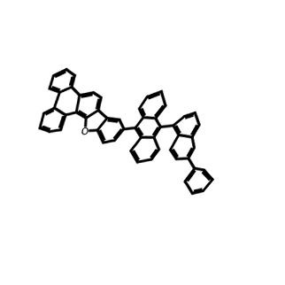 c1ccc(-c2ccc3c(-c4c5ccccc5c(-c5ccc6oc7c(ccc8c9ccccc9c9ccccc9c87)c6c5)c5ccccc45)cccc3c2)cc1